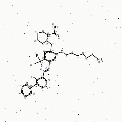 Cc1c(/C=C/c2cc(OCCCCCCN)c(CN3CCCC[C@H]3C(=O)O)cc2C(F)(F)F)cccc1-c1ccccc1